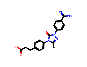 Cc1nn(-c2ccc(C(=N)N)cc2)c(=O)n1-c1ccc(CCC(=O)O)cc1